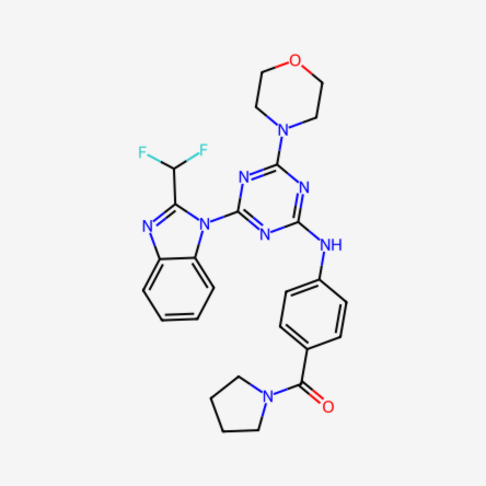 O=C(c1ccc(Nc2nc(N3CCOCC3)nc(-n3c(C(F)F)nc4ccccc43)n2)cc1)N1CCCC1